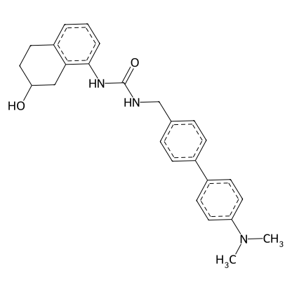 CN(C)c1ccc(-c2ccc(CNC(=O)Nc3cccc4c3CC(O)CC4)cc2)cc1